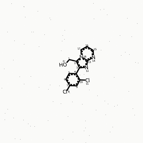 OCc1c(-c2ccc(Cl)cc2Cl)nc2ncccn12